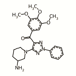 COc1cc(C(=O)c2nn(-c3ccccc3)nc2N2CCCC(N)C2)cc(OC)c1OC